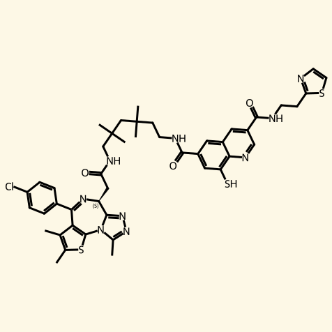 Cc1sc2c(c1C)C(c1ccc(Cl)cc1)=N[C@@H](CC(=O)NCC(C)(C)CC(C)(C)CCNC(=O)c1cc(S)c3ncc(C(=O)NCCc4nccs4)cc3c1)c1nnc(C)n1-2